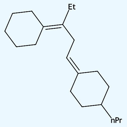 CCCC1CCC(=CCC(CC)=C2CCCCC2)CC1